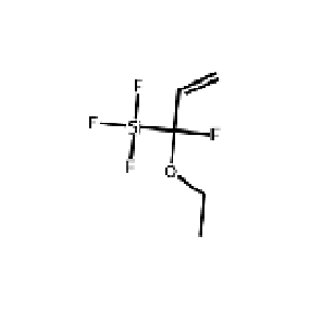 C=CC(F)(OCC)[Si](F)(F)F